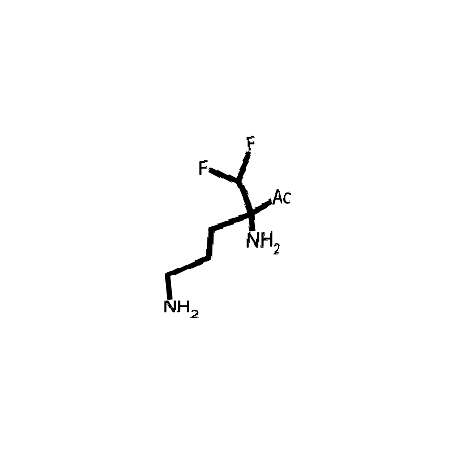 CC(=O)C(N)(CCCN)C(F)F